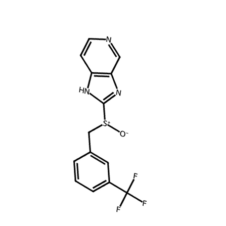 [O-][S+](Cc1cccc(C(F)(F)F)c1)c1nc2cnccc2[nH]1